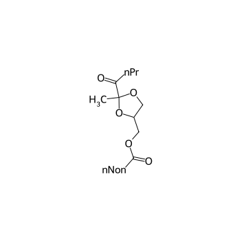 CCCCCCCCCC(=O)OCC1COC(C)(C(=O)CCC)O1